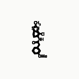 COc1cccc(CC(=O)Nc2ccc3sc(C)nc3c2Cl)c1